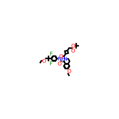 CCOCC(C)(C)c1c(F)cc(NC(=O)[C@H]2c3ccc(OCC)cc3CCN2C(=O)C2CC(CC(=O)OC(C)(C)C)C2)cc1F